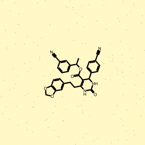 CC(OC(=O)C1=C(CCc2ccc3c(c2)OCO3)NC(=O)NC1c1ccc(C#N)cc1)c1cccc(C#N)c1